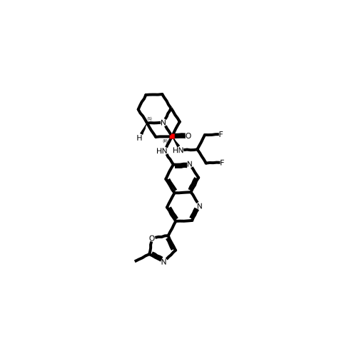 Cc1ncc(-c2cnc3cnc(NC(=O)N4C5CCC[C@H]4C[C@H](NC(CF)CF)C5)cc3c2)o1